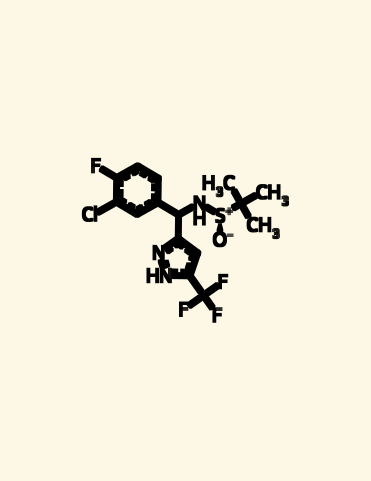 CC(C)(C)[S@@+]([O-])NC(c1ccc(F)c(Cl)c1)c1cc(C(F)(F)F)[nH]n1